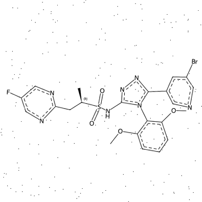 COc1cccc(OC)c1-n1c(NS(=O)(=O)[C@H](C)Cc2ncc(F)cn2)nnc1-c1cncc(Br)c1